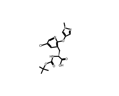 Cn1cc(Oc2ncc(Cl)cc2C[C@H](NC(=O)OC(C)(C)C)C(=O)O)cn1